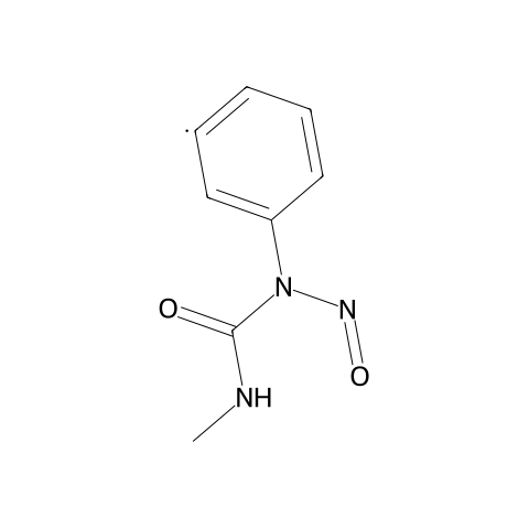 CNC(=O)N(N=O)c1c[c]ccc1